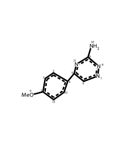 COc1ccc(-c2cnnc(N)n2)cc1